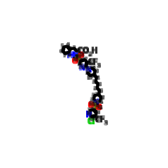 O=C(O)C(Cc1ccccc1)NS(=O)(=O)c1cnc(N2CCC(CCCCCC3CCN(S(=O)(=O)c4cnc(Cl)c(C(F)(F)F)c4)CC3)CC2)c(C(F)(F)F)c1